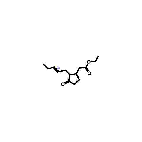 CC/C=C/CC1C(=O)CCC1CC(=O)OCC